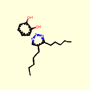 CCCCCc1cnnnc1CCCCC.Oc1ccccc1O